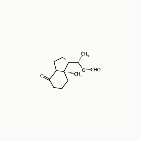 C[C@H](OC=O)[C@H]1CCC2C(=O)CCC[C@@]21C